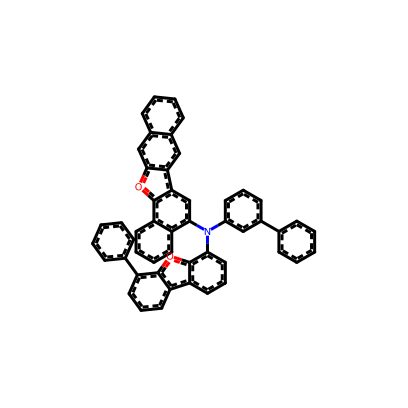 c1ccc(-c2cccc(N(c3cc4c5cc6ccccc6cc5oc4c4ccccc34)c3cccc4c3oc3c(-c5ccccc5)cccc34)c2)cc1